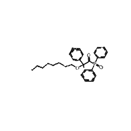 CCCCCCCCOC(C)(C(=O)P(=O)(c1ccccc1)c1ccccc1)c1ccccc1